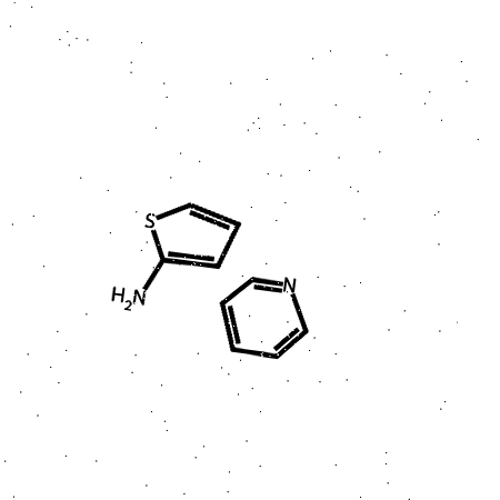 Nc1cccs1.c1ccncc1